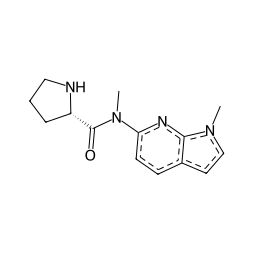 CN(C(=O)[C@@H]1CCCN1)c1ccc2ccn(C)c2n1